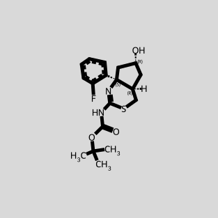 CC(C)(C)OC(=O)NC1=N[C@@]2(c3ccccc3F)C[C@H](O)C[C@H]2CS1